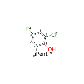 CCCC(C)c1cc(F)cc(Cl)c1O